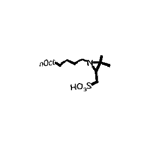 CCCCCCCCCCCCN1C(CS(=O)(=O)O)C1(C)C